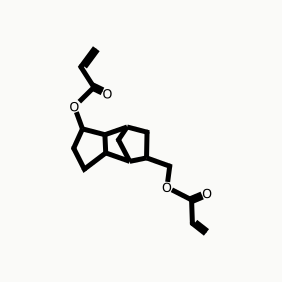 C=CC(=O)OCC1CC2CC1C1CCC(OC(=O)C=C)C21